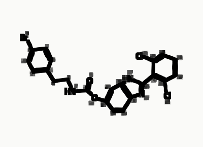 O=C(NCCc1ccc(Br)cc1)Oc1ccc2nc(-c3c(Cl)cccc3Cl)[nH]c2c1